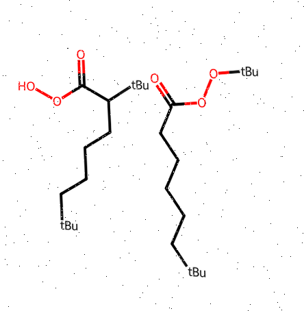 CC(C)(C)CCCCC(C(=O)OO)C(C)(C)C.CC(C)(C)CCCCCC(=O)OOC(C)(C)C